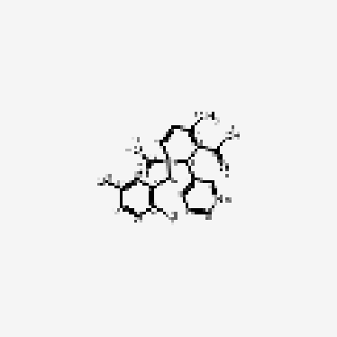 CC1=C(C(=O)O)C(c2cccnc2)C(Cc2cc(Cl)ccc2Cl)(C(=O)O)C=C1